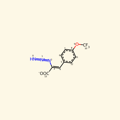 N=[N+]=NC(=Cc1ccc(OC(F)(F)F)cc1)C(=O)[O-]